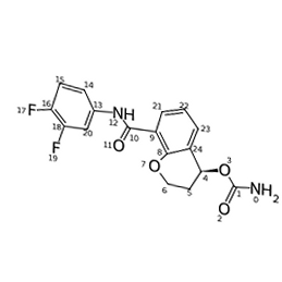 NC(=O)O[C@H]1CCOc2c(C(=O)Nc3ccc(F)c(F)c3)cccc21